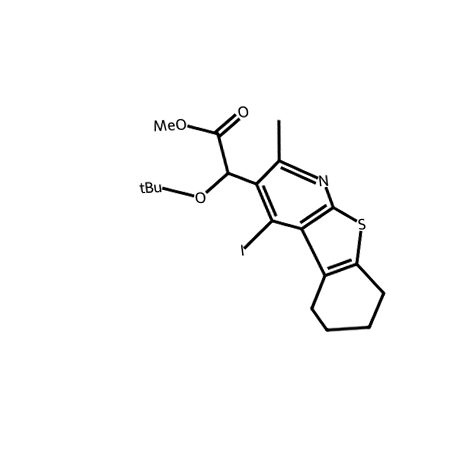 COC(=O)C(OC(C)(C)C)c1c(C)nc2sc3c(c2c1I)CCCC3